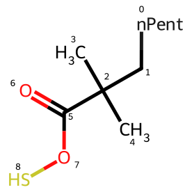 CCCCCCC(C)(C)C(=O)OS